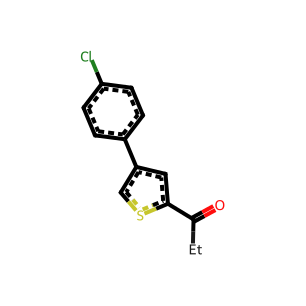 CCC(=O)c1cc(-c2ccc(Cl)cc2)cs1